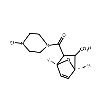 CCN1CCN(C(=O)C2C(C(=O)O)[C@H]3C=C[C@@H]2O3)CC1